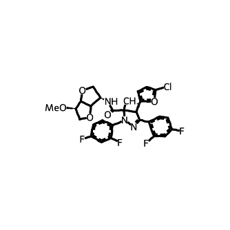 CO[C@@H]1COC2C1OC[C@@H]2NC(=O)C1(C)C(c2ccc(Cl)o2)C(c2ccc(F)cc2F)=NN1c1ccc(F)cc1F